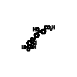 CCC(=O)c1ccc(OCc2ccc(C(O)c3cccc(C(=O)O)c3)cc2)c(Cl)c1O